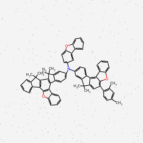 Cc1ccc(-c2cc3c(c4c2oc2ccccc24)-c2ccc(N(c4ccc5c(c4)C(C)(C)c4c6c(c7oc8ccccc8c7c4-5)-c4ccccc4C6(C)C)c4ccc5oc6ccccc6c5c4)cc2C3(C)C)c(C)c1